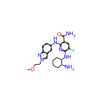 COCCn1cc2cc(Nc3nc(N[C@@H]4CCCC[C@@H]4N)c(F)cc3C(N)=O)ccc2n1